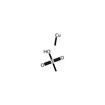 CS(=O)(=O)O.[CH3][Cu]